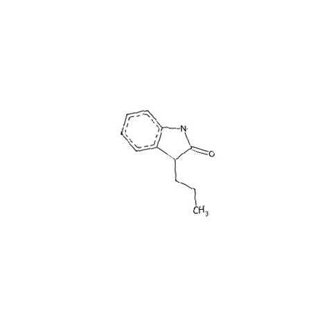 CCCC1C(=O)[N]c2ccccc21